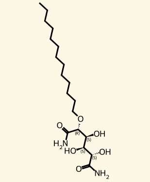 CCCCCCCCCCCCCO[C@@H](C(N)=O)[C@@H](O)[C@H](O)[C@H](O)C(N)=O